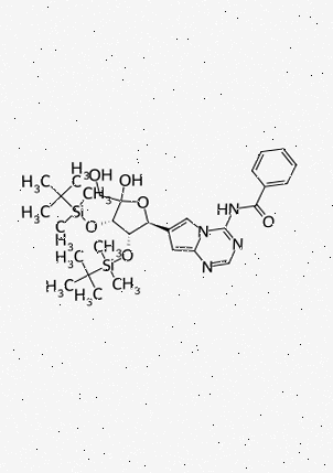 CC(C)(C)[Si](C)(C)O[C@H]1[C@H](c2cc3ncnc(NC(=O)c4ccccc4)n3c2)OC(O)(CO)[C@H]1O[Si](C)(C)C(C)(C)C